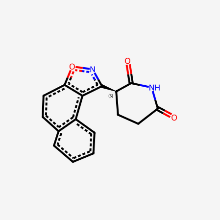 O=C1CC[C@@H](c2noc3ccc4ccccc4c23)C(=O)N1